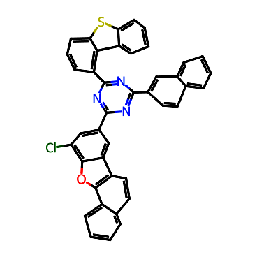 Clc1cc(-c2nc(-c3ccc4ccccc4c3)nc(-c3cccc4sc5ccccc5c34)n2)cc2c1oc1c3ccccc3ccc21